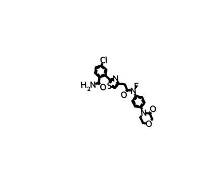 NC(=O)c1ccc(Cl)cc1-c1nc(CC(=O)N(F)c2ccc(N3CCOCC3=O)cc2)cs1